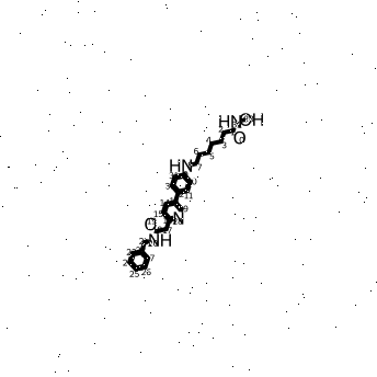 O=C(CCCCCCNc1ccc(-c2ccc(CC(=O)NCc3ccccc3)nc2)cc1)NO